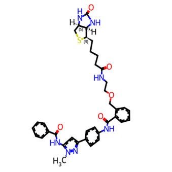 Cn1nc(-c2ccc(NC(=O)c3ccccc3COCCNC(=O)CCCC[C@H]3SC[C@H]4NC(=O)N[C@H]43)cc2)cc1NC(=O)c1ccccc1